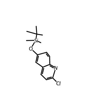 CC(C)(C)[Si](C)(C)Oc1ccc2nc(Cl)ccc2c1